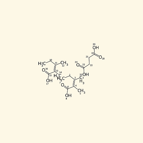 CCC(C)=C(C)C(=O)O.CCC(C)=C(C)C(=O)O.O=C(O)CCC(=O)O